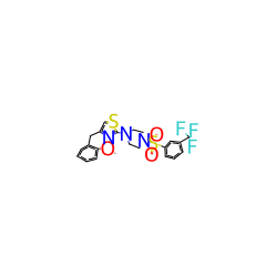 COc1ccccc1Cc1csc(N2CCN(S(=O)(=O)c3cccc(C(F)(F)F)c3)CC2)n1